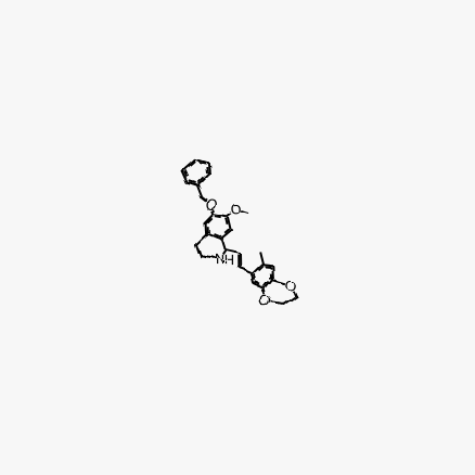 COc1cc2c(cc1OCc1ccccc1)CCNC2C=Cc1cc2c(cc1C)OCCO2